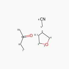 C1CCOC1.CC#N.CCC(C)=O